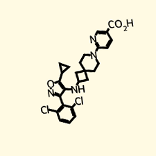 O=C(O)c1ccc(N2CCC3(CC2)CC(Nc2c(-c4c(Cl)cccc4Cl)noc2C2CC2)C3)nc1